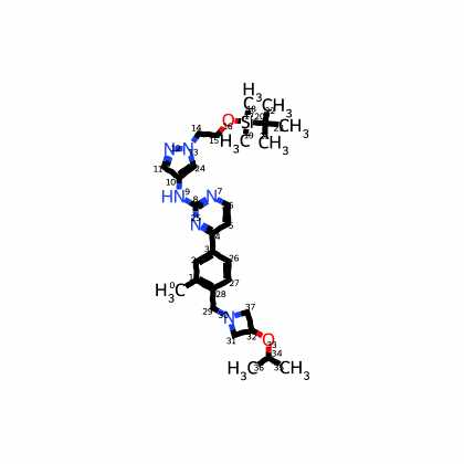 Cc1cc(-c2ccnc(Nc3cnn(CCO[Si](C)(C)C(C)(C)C)c3)n2)ccc1CN1CC(OC(C)C)C1